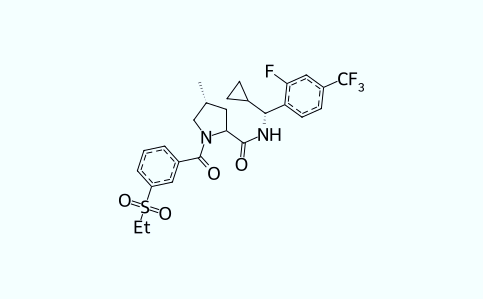 CCS(=O)(=O)c1cccc(C(=O)N2C[C@H](C)CC2C(=O)N[C@@H](c2ccc(C(F)(F)F)cc2F)C2CC2)c1